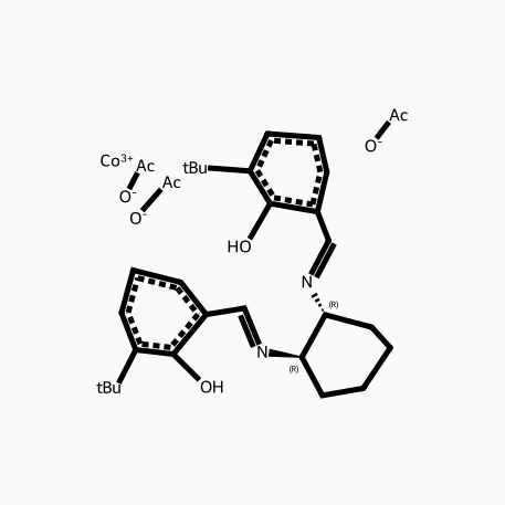 CC(=O)[O-].CC(=O)[O-].CC(=O)[O-].CC(C)(C)c1cccc(C=N[C@@H]2CCCC[C@H]2N=Cc2cccc(C(C)(C)C)c2O)c1O.[Co+3]